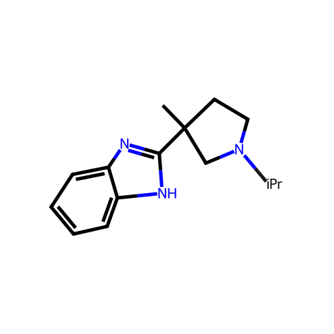 CC(C)N1CCC(C)(c2nc3ccccc3[nH]2)C1